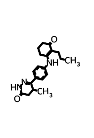 CCCC1=C(Nc2ccc(C3=NNC(=O)CC3C)cc2)CCCC1=O